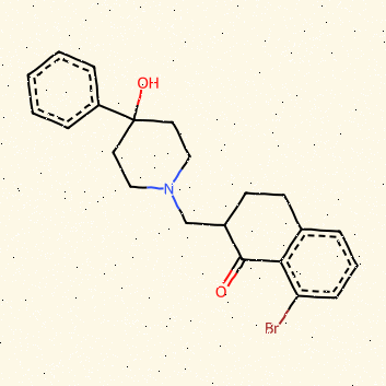 O=C1c2c(Br)cccc2CCC1CN1CCC(O)(c2ccccc2)CC1